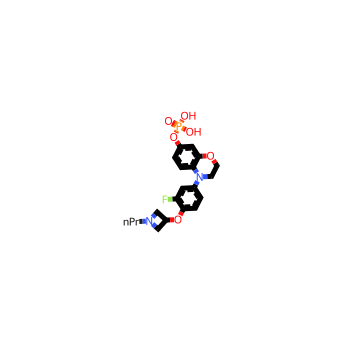 CCCN1CC(Oc2ccc(N3CCOc4cc(OP(=O)(O)O)ccc43)cc2F)C1